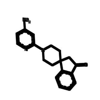 O=C1CC2(CCN(c3cc([N+](=O)[O-])ccn3)CC2)c2ccccc21